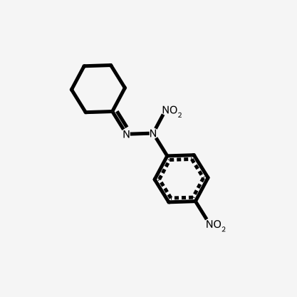 O=[N+]([O-])c1ccc(N(N=C2CCCCC2)[N+](=O)[O-])cc1